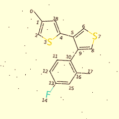 Cc1csc(-c2cscc2-c2ccc(F)cc2C)c1